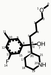 COCCCC[C@@](O)(c1cc(C)cc(F)c1)[C@@H]1CCCNC1